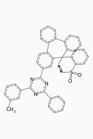 Cc1cccc(-c2nc(-c3ccccc3)nc(-c3ccc4c(c3)C3(c5ccccc5-c5ccccc5-4)c4ccccc4S(=O)(=O)c4ccccc43)n2)c1